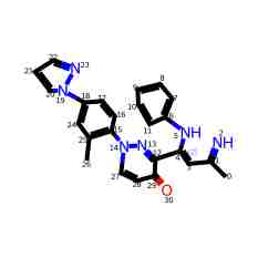 CC(=N)/C=C(\Nc1ccccc1)c1nn(-c2ccc(-n3cccn3)cc2C)ccc1=O